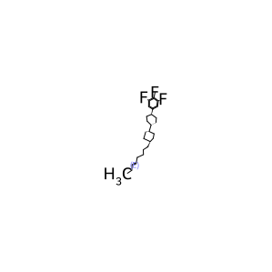 CC/C=C/CCCC[C@H]1CC[C@H]([C@H]2CC[C@H](c3cc(F)c(F)c(F)c3)CC2)CC1